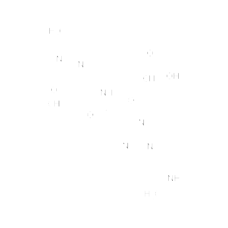 CCOc1nc(N2CCC(NC)C2)ncc1C(=O)Nc1cc(OC)c2nc(C)cn2c1.O=CO